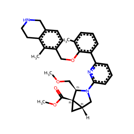 COC[C@H]1N(c2cccc(-c3cccc(C)c3OCc3ccc4c(c3C)CCNC4)n2)C[C@@H]2C[C@@]21C(=O)OC